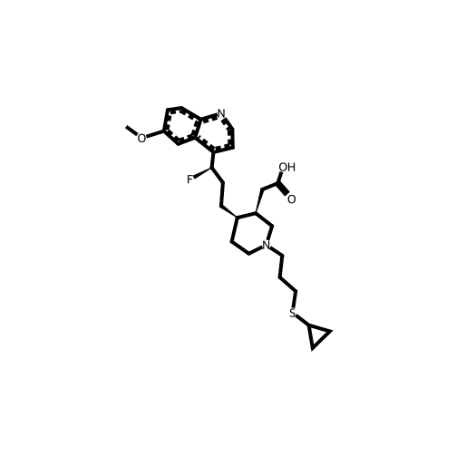 COc1ccc2nccc([C@H](F)CC[C@@H]3CCN(CCCSC4CC4)C[C@@H]3CC(=O)O)c2c1